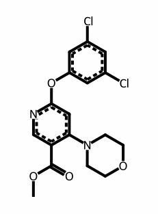 COC(=O)c1cnc(Oc2cc(Cl)cc(Cl)c2)cc1N1CCOCC1